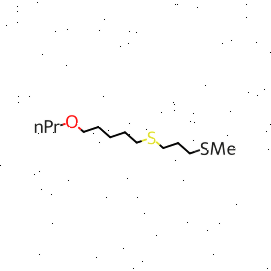 [CH2]CCOCCCCCSCCCS[CH2]